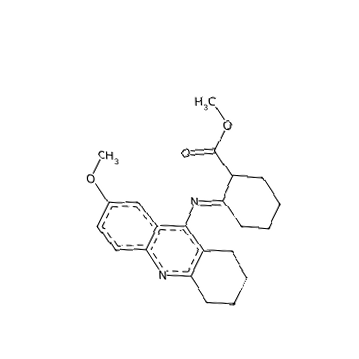 COC(=O)C1CCCCC1=Nc1c2c(nc3ccc(OC)cc13)CCCC2